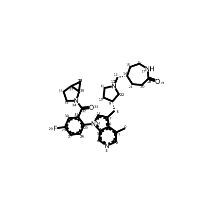 Cc1cncc2c1c(C[C@@H]1CCN(C[C@@H]3CCNC(=O)CC3)C1)cn2-c1ccc(F)cc1C(=O)N1CCC2CC21